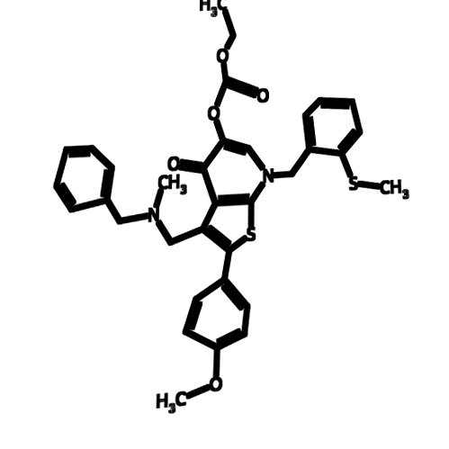 CCOC(=O)Oc1cn(Cc2ccccc2SC)c2sc(-c3ccc(OC)cc3)c(CN(C)Cc3ccccc3)c2c1=O